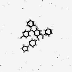 Clc1ccc(-n2c3c/c(=N\C4CCN(C5CCCC5)CC4)c(Nc4cccnc4)cc-3nc3ccccc32)cc1